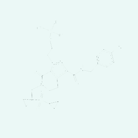 CC(C)[Si](OCCn1nc(C(=O)NCc2ccc(C#N)cc2)c2c1C(=O)N(CC1(S(=O)(=O)C3CC3)CC1)CC2)(C(C)C)C(C)C